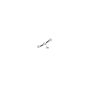 [Cl][Cu][Cl].[In]